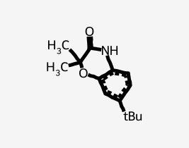 CC1(C)Oc2cc(C(C)(C)C)ccc2NC1=O